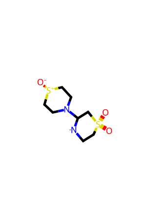 O=S1(=O)CC[N]C(N2CC[S+]([O-])CC2)C1